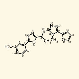 Cc1cc(-c2nnc(C(C)Sc3nnc(-c4ccco4)n3C)o2)ccn1